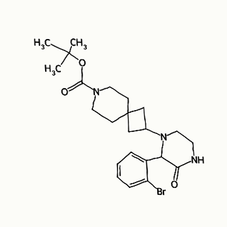 CC(C)(C)OC(=O)N1CCC2(CC1)CC(N1CCNC(=O)C1c1ccccc1Br)C2